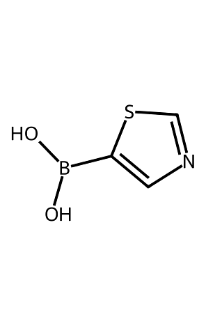 OB(O)c1cncs1